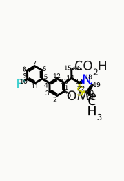 COc1ccc(-c2cccc(F)c2)cc1C(CC(=O)O)c1ncc(C)s1